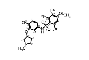 COc1cc(Br)c(S(=O)(=O)Nc2ccc(Cl)c(OC3CCN(C)C3)c2)c(F)c1F